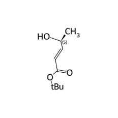 C[C@H](O)C=CC(=O)OC(C)(C)C